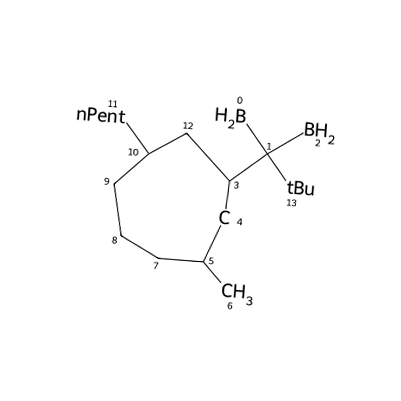 BC(B)(C1CC(C)CCCC(CCCCC)C1)C(C)(C)C